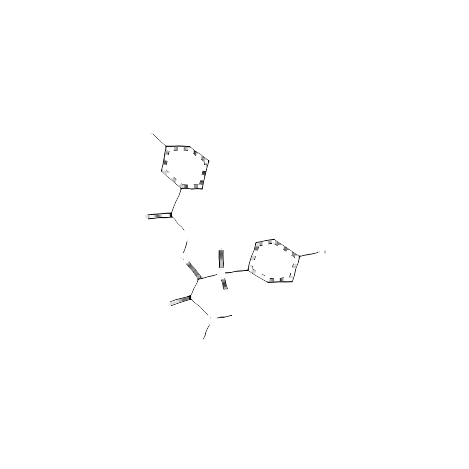 CN(C)C(=O)C(=NOC(=O)c1cccc(Cl)c1)S(=O)(=O)c1ccc(Br)cc1